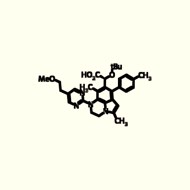 COCCc1cnc(N2CCn3c(C)cc4c(-c5ccc(C)cc5)c([C@H](OC(C)(C)C)C(=O)O)c(C)c2c43)nc1